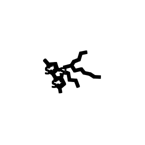 CCCCCCC(CCCC)C[Si]1(CCCC)c2cc(C)sc2-c2sc(C)cc21